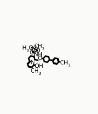 CC1=CC=C2CCC(NS(=O)(=O)N(C)C)C(COC3CCC(c4ccc(C)cc4)CC3)N2C1O